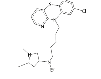 CCN(CCCCCN1c2cc(Cl)ccc2Sc2cccnc21)C1CC(C)N(C)C1